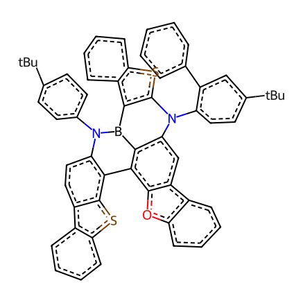 CC(C)(C)c1ccc(N2B3c4c(cc5c(oc6ccccc65)c4-c4c2ccc2c4sc4ccccc42)N(c2ccc(C(C)(C)C)cc2-c2ccccc2)c2sc4ccccc4c23)cc1